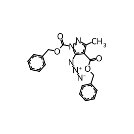 Cc1nn(C(=O)OCc2ccccc2)c(N=[N+]=[N-])c1C(=O)OCc1ccccc1